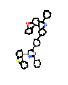 c1ccc(-c2nc(-c3ccc(-c4ccc5nc(-c6ccccc6)c6ccc7oc8ccccc8c7c6c5c4)cc3)cc(-c3cccc4sc5ccccc5c34)n2)cc1